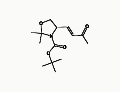 CC(=O)/C=C/[C@H]1COC(C)(C)N1C(=O)OC(C)(C)C